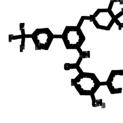 Cc1cnc(C(=O)Nc2cc(CN3CCC(F)(F)C(N)C3)cc(-c3ccc(C(F)(F)F)nc3)c2)cc1-c1ccccc1